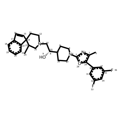 Cc1nc(N2CCC([C@H](O)CN3CCC4(C=Cc5ccccc54)C(C)C3)CC2)oc1-c1cc(F)cc(F)c1